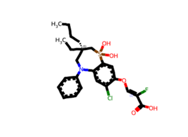 CCCC[C@@]1(CC)CN(c2ccccc2)c2cc(Cl)c(O/C=C(\F)C(=O)O)cc2S(O)(O)C1